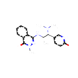 C[C@H](Nc1nn(C)c(=O)c2ccccc12)[C@H](c1ccc(=O)[nH]c1)N(C)C